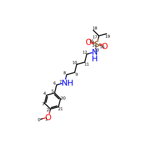 COc1ccc(CNCCCCCNS(=O)(=O)C(C)C)cc1